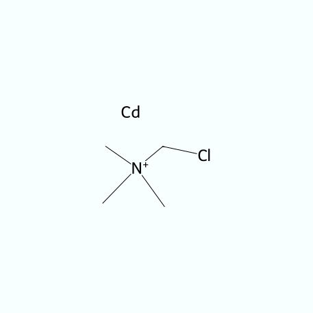 C[N+](C)(C)CCl.[Cd]